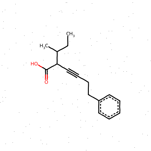 CCC(C)C(C#CCCc1ccccc1)C(=O)O